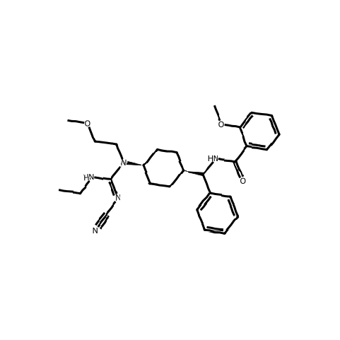 CCNC(=NC#N)N(CCOC)[C@H]1CC[C@@H](C(NC(=O)c2ccccc2OC)c2ccccc2)CC1